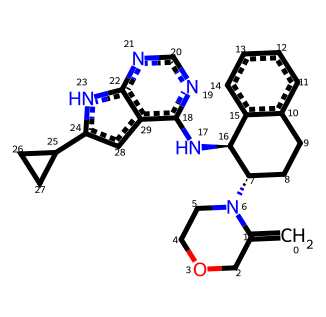 C=C1COCCN1[C@H]1CCc2ccccc2[C@@H]1Nc1ncnc2[nH]c(C3CC3)cc12